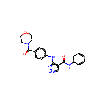 O=C(NC1C=CC=CC1)c1c[nH]nc1Nc1ccc(C(=O)N2CCOCC2)cc1